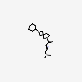 CN(C)C/C=C/C(=O)N1CCC2(C1)CN(C1CCCCC1)C2